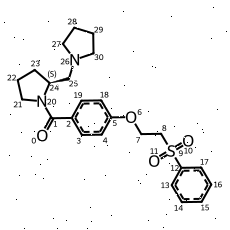 O=C(c1ccc(OCCS(=O)(=O)c2ccccc2)cc1)N1CCC[C@H]1CN1CCCC1